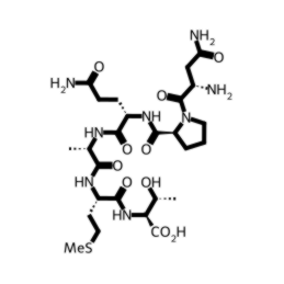 CSCC[C@H](NC(=O)[C@H](C)NC(=O)[C@H](CCC(N)=O)NC(=O)[C@@H]1CCCN1C(=O)[C@@H](N)CC(N)=O)C(=O)N[C@H](C(=O)O)[C@@H](C)O